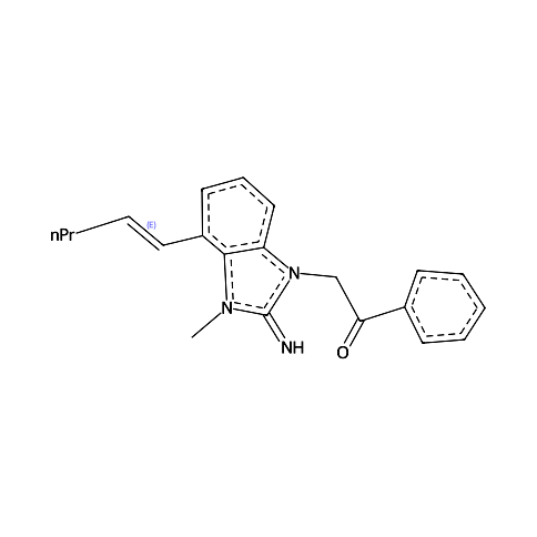 CCC/C=C/c1cccc2c1n(C)c(=N)n2CC(=O)c1ccccc1